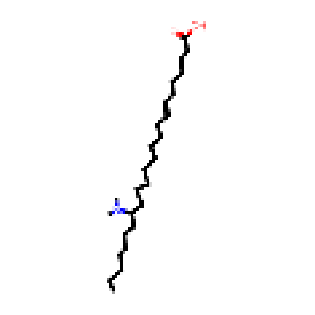 CCCCCCCC(CCCCCCCCC=CCCCCCC(=O)O)N(C)C